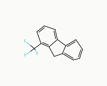 FC(F)(F)c1cccc2c1Cc1ccccc1-2